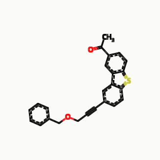 CC(=O)c1ccc2sc3ccc(C#CCOCc4ccccc4)cc3c2c1